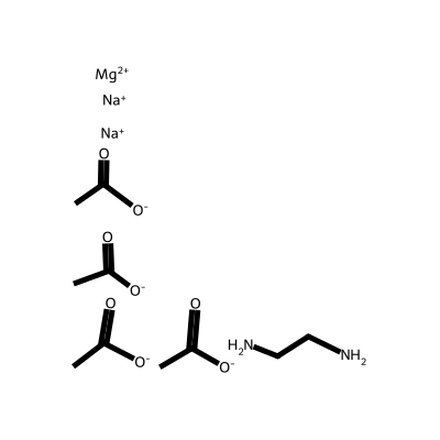 CC(=O)[O-].CC(=O)[O-].CC(=O)[O-].CC(=O)[O-].NCCN.[Mg+2].[Na+].[Na+]